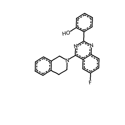 Oc1ccccc1-c1nc(N2CCc3ccccc3C2)c2cc(F)ccc2n1